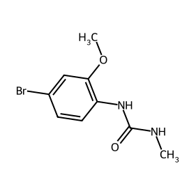 CNC(=O)Nc1ccc(Br)cc1OC